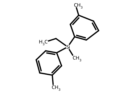 CC[Si](C)(c1cccc(C)c1)c1cccc(C)c1